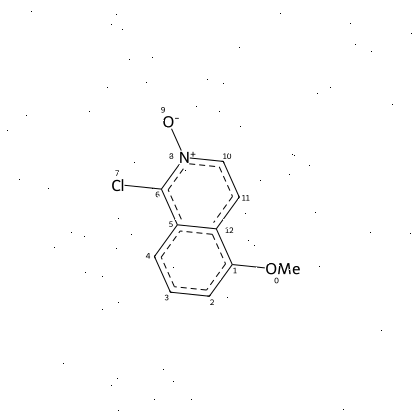 COc1cccc2c(Cl)[n+]([O-])ccc12